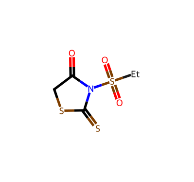 CCS(=O)(=O)N1C(=O)CSC1=S